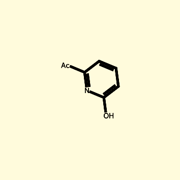 CC(=O)c1cccc(O)n1